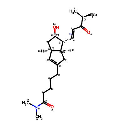 CCCC[C@H](C)C(=O)/C=C/[C@@H]1[C@H]2CC(CCCCC(=O)N(C)C)=C[C@H]2C[C@H]1O